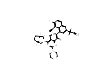 C#Cc1c(F)ccc2cc(C(C)(C)C#N)cc(-c3ncc4c(N5C[C@H]6CC[C@@H](C5)O6)nc(N5CCOCC5)nc4c3F)c12